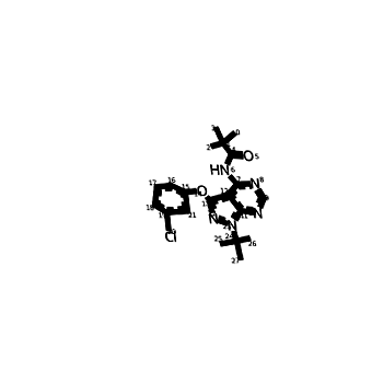 CC(C)(C)C(=O)Nc1ncnc2c1c(Oc1cccc(Cl)c1)nn2C(C)(C)C